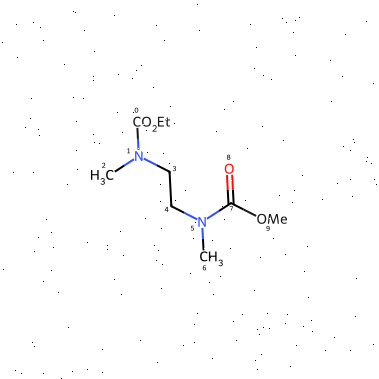 CCOC(=O)N(C)CCN(C)C(=O)OC